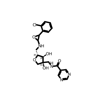 O=C(NC[C@]1(O)CO[C@H](CNC2OC2c2ccccc2Cl)[C@H]1O)c1cncnc1